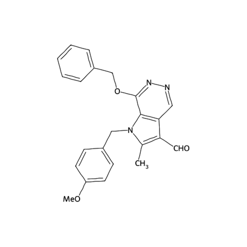 COc1ccc(Cn2c(C)c(C=O)c3cnnc(OCc4ccccc4)c32)cc1